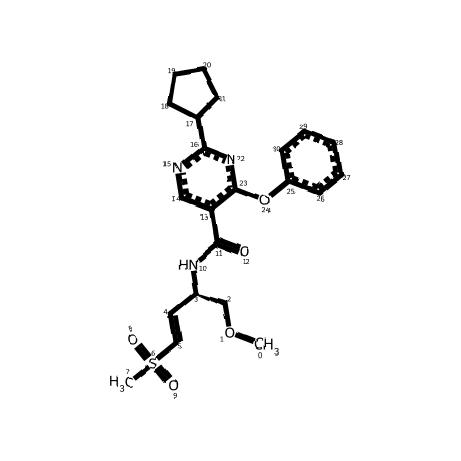 COC[C@@H](/C=C/S(C)(=O)=O)NC(=O)c1cnc(C2CCCC2)nc1Oc1ccccc1